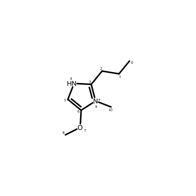 CCCc1[nH]cc(OC)[n+]1C